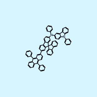 c1ccc(-c2c3ccccc3c(-c3ccccc3)c3cc(-c4ccc5c(c4)C4(c6ccccc6-c6ccccc64)c4cc(N(c6ccccc6)c6ccc7c(c6)c6ccccc6n7-c6ccccc6)ccc4-5)ccc23)cc1